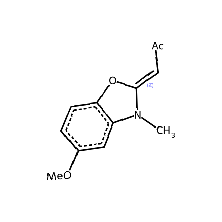 COc1ccc2c(c1)N(C)/C(=C/C(C)=O)O2